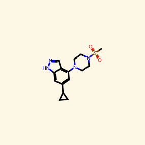 CS(=O)(=O)N1CCN(c2cc(C3CC3)cc3[nH]ncc23)CC1